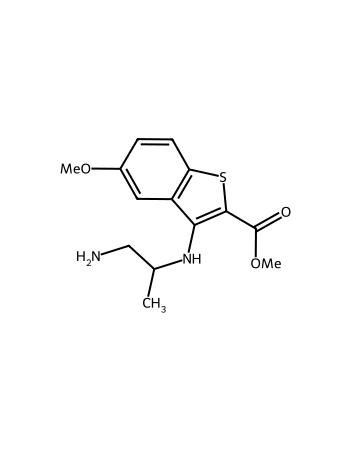 COC(=O)c1sc2ccc(OC)cc2c1NC(C)CN